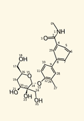 CNC(=O)c1cccc(-c2ccc(O[C@H]3O[C@H](CO)C[C@H](O)[C@@]3(O)CO)c(C)c2)c1